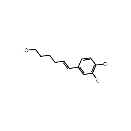 [O]CCCCC=Cc1ccc(Cl)c(Cl)c1